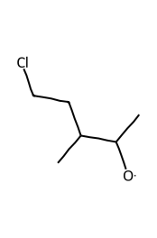 CC([O])C(C)CCCl